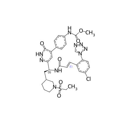 CCS(=O)(=O)N1CCCC(C[C@H](NC(=O)/C=C/c2cc(Cl)ccc2-n2cnnn2)c2cc(-c3ccc(NC(=O)OC)cc3)c(=O)[nH]n2)C1